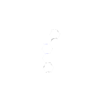 c1ccc(CN2CC[C@H](c3ccccc3)NC2)cc1